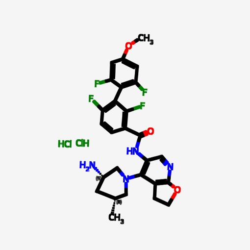 COc1cc(F)c(-c2c(F)ccc(C(=O)Nc3cnc4c(c3N3C[C@H](C)C[C@H](N)C3)CCO4)c2F)c(F)c1.Cl.Cl